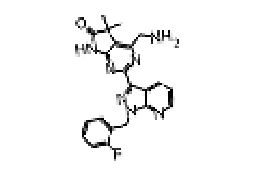 CC1(C)C(=O)Nc2nc(-c3nn(Cc4ccccc4F)c4ncccc34)nc(CN)c21